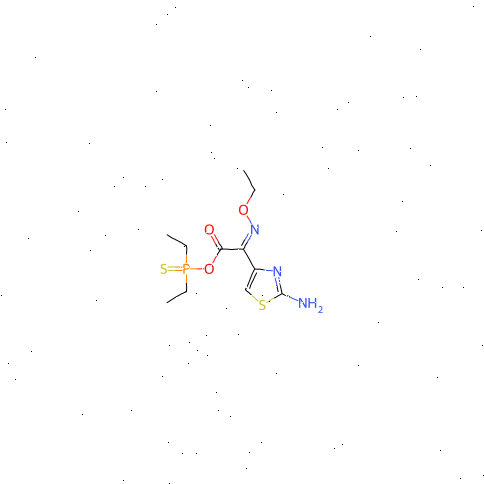 CCO/N=C(\C(=O)OP(=S)(CC)CC)c1csc(N)n1